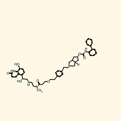 CN(CCNC[C@H](O)c1ccc(O)c2[nH]c(=O)ccc12)C(=O)CCOCCc1ccc(CCN2CC3C[C@@H](OC(=O)Nc4ccccc4-c4ccccc4)C[C@@H]3C2)cc1